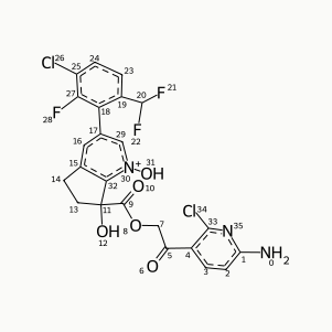 Nc1ccc(C(=O)COC(=O)C2(O)CCc3cc(-c4c(C(F)F)ccc(Cl)c4F)c[n+](O)c32)c(Cl)n1